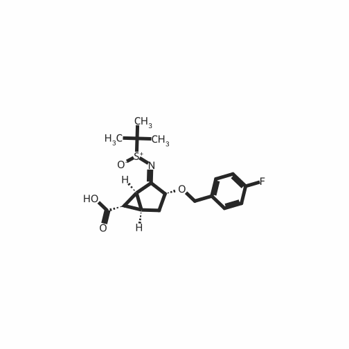 CC(C)(C)[S+]([O-])/N=C1\[C@H]2[C@@H](C[C@H]1OCc1ccc(F)cc1)[C@@H]2C(=O)O